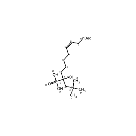 CCCCCCCCCCC/C=C\CCCCC(O)(C[N+](C)(C)C)P(=O)(O)O